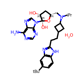 CC(C)N(C[C@H]1C[C@@H](O)[C@](O)(n2cnc3c(N)ncnc32)O1)C1CC(CCc2nc3cc(C(C)(C)C)ccc3[nH]2)C1.O